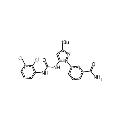 CC(C)(C)c1cc(NC(=O)Nc2cccc(Cl)c2Cl)n(-c2cccc(C(N)=O)c2)n1